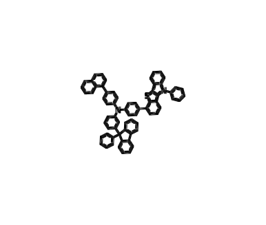 c1ccc(-n2c3ccccc3c3sc4c(-c5ccc(N(c6ccc(-c7cccc8ccccc78)cc6)c6cccc(C7(c8ccccc8)c8ccccc8-c8ccccc87)c6)cc5)cccc4c32)cc1